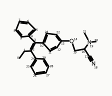 CC/C(=C(\c1ccccc1)c1ccc(OCC(C#N)N(C)C)cc1)c1ccccc1